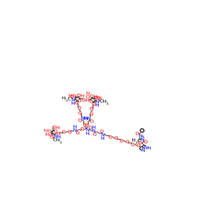 CC(=O)N[C@H]1[C@H](OCCOCCOCCNC(=O)CCOCC(COCCC(=O)NCCOCCOCCOC2O[C@H](CO)[C@H](O)[C@H](O)[C@H]2NC(C)=O)(COCCC(=O)NCCOCCOCCO[C@@H]2O[C@H](CO)[C@H](O)[C@H](O)[C@H]2NC(C)=O)NC(=O)CNC(=O)CCC(=O)NCCCOCCOCCOCCOCCOCCOc2ccnc3[nH]cc(C(=O)C(=O)N4CCN(C(=O)c5ccccc5)C[C@H]4C)c23)O[C@H](CO)[C@H](O)[C@@H]1O